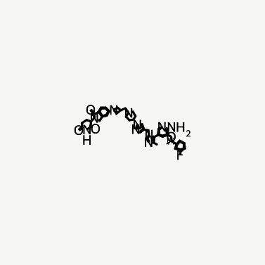 Cc1ncn(Cc2cnn(C3CCN(CC4CN(c5ccc6c(c5)CN(C5CCC(=O)NC5=O)C6=O)C4)CC3)c2)c1-c1cnc(N)c(O[C@H](C)c2cccc(F)c2)c1